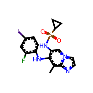 Cc1c(Nc2ccc(I)cc2F)c(NS(=O)(=O)C2CC2)cn2ccnc12